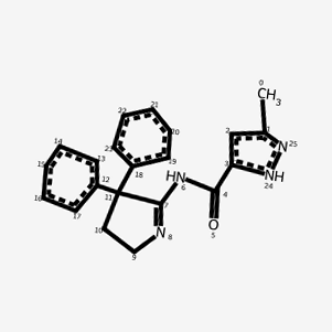 Cc1cc(C(=O)NC2=NCCC2(c2ccccc2)c2ccccc2)[nH]n1